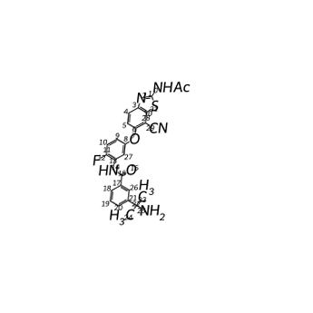 CC(=O)Nc1nc2ccc(Oc3ccc(F)c(NC(=O)c4cccc(C(C)(C)N)c4)c3)c(C#N)c2s1